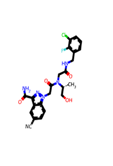 C[C@H](CO)N(CC(=O)NCc1cccc(Cl)c1F)C(=O)Cn1nc(C(N)=O)c2cc(C#N)ccc21